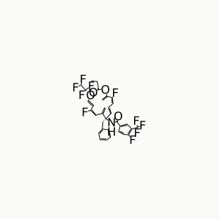 C=C(OC(=O)CC)/C(F)=C\C=C\[C@@](Cc1ccccc1)(NC(=O)c1ccc(F)c(C(F)(F)F)c1)C(=C)/C=C(F)\C=C\OC(F)(F)C(F)F